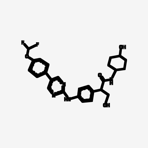 O=C(NC1CCC(O)CC1)C(CO)c1ccc(Nc2ncc(-c3ccc(OC(F)F)cc3)cn2)cc1